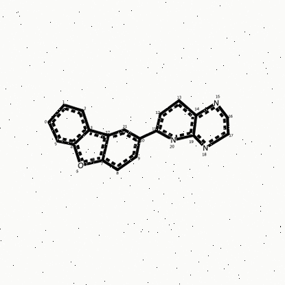 c1ccc2c(c1)oc1ccc(-c3ccc4nccnc4n3)cc12